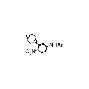 CC(=O)Nc1ccc([N+](=O)[O-])c(N2CCOCC2)c1